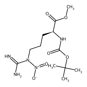 COC(=O)[C@H](CCCN(C(=N)N)[N+](=O)[O-])NC(=O)OC(C)(C)C